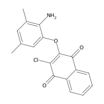 Cc1cc(C)c(N)c(OC2=C(Cl)C(=O)c3ccccc3C2=O)c1